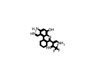 N=Cc1c(N)cc(O)c2nc(/C(=C/N)C(=N)C(F)(F)F)c3c(c12)CCCC3